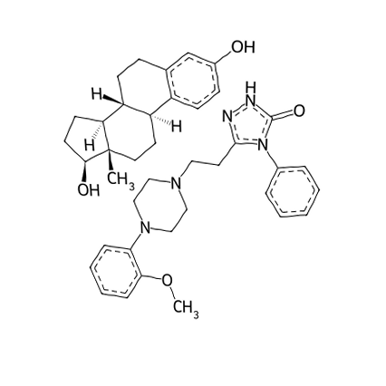 COc1ccccc1N1CCN(CCc2n[nH]c(=O)n2-c2ccccc2)CC1.C[C@]12CC[C@@H]3c4ccc(O)cc4CC[C@H]3[C@@H]1CC[C@@H]2O